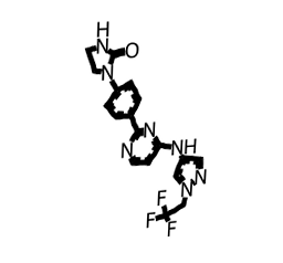 O=C1NCCN1c1ccc(-c2nccc(Nc3cnn(CC(F)(F)F)c3)n2)cc1